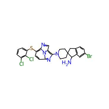 NC1c2cc(Br)ccc2CC12CCN(c1nc3ccc(Sc4cccc(Cl)c4Cl)c4ncc1n34)CC2